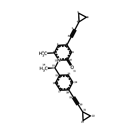 Cc1cc(C#CC2CC2)cc(=O)n1[C@H](C)c1ccc(C#CC2CC2)cc1